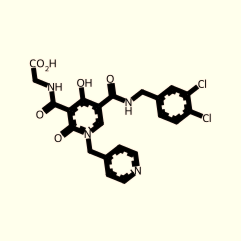 O=C(O)CNC(=O)c1c(O)c(C(=O)NCc2ccc(Cl)c(Cl)c2)cn(Cc2ccncc2)c1=O